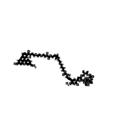 CCS(=S)CO[C@@H]1C[C@H](n2cc(C#CCNC(=O)OCCCCOCSSC(C)(C)CCOC(=O)NCCOCCOCCNC(=O)c3ccc(C)c(-c4c5ccc(=N)cc-5oc5cc(N)ccc45)c3)c(N)nc2=O)O[C@@H]1COP(=O)(O)OP(=O)(O)OP(=O)(O)O